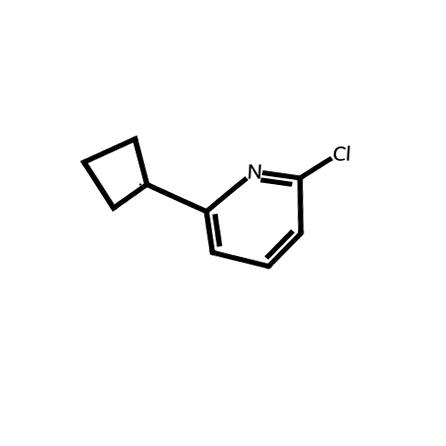 Clc1cccc([C]2CCC2)n1